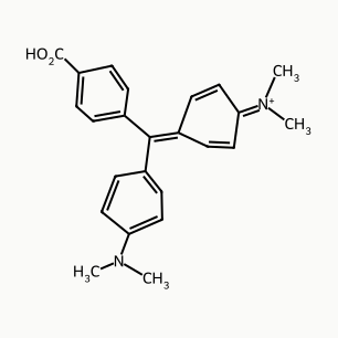 CN(C)c1ccc(C(=C2C=CC(=[N+](C)C)C=C2)c2ccc(C(=O)O)cc2)cc1